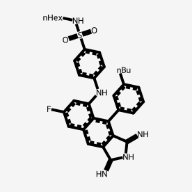 CCCCCCNS(=O)(=O)c1ccc(Nc2cc(F)cc3cc4c(c(-c5cccc(CCCC)c5)c23)C(=N)NC4=N)cc1